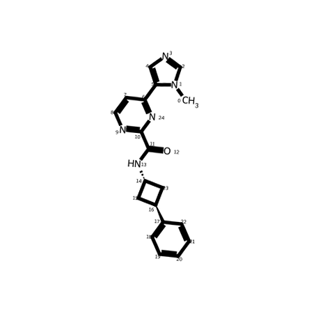 Cn1cncc1-c1ccnc(C(=O)N[C@H]2C[C@H](c3ccccc3)C2)n1